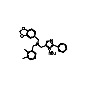 CCCCn1c(CN(Cc2ccc3c(c2)OCO3)Cc2cccc(C)c2C)cnc1-c1ccccc1